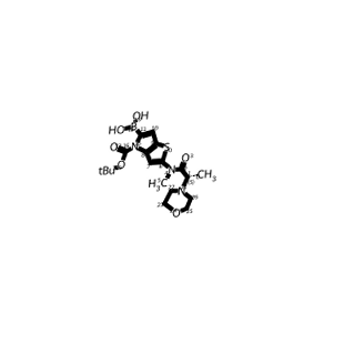 C[C@@H](C(=O)N(C)c1cc2c(cc(B(O)O)n2C(=O)OC(C)(C)C)s1)N1CCOCC1